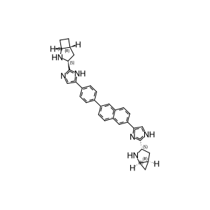 c1cc(-c2cnc([C@@H]3C[C@H]4CC[C@H]4N3)[nH]2)ccc1-c1ccc2cc(-c3c[nH]c([C@@H]4C[C@H]5C[C@H]5N4)n3)ccc2c1